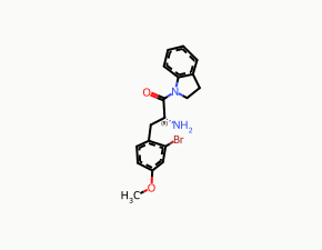 COc1ccc(C[C@@H](N)C(=O)N2CCc3ccccc32)c(Br)c1